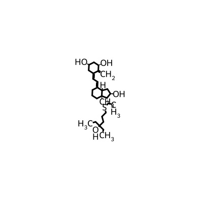 C=C1/C(=C\C=C2/CCC[C@@]3(C)[C@H]2C[C@@H](O)[C@@H]3C(C)SCCCC(O)(CC)CC)C[C@@H](O)C[C@@H]1O